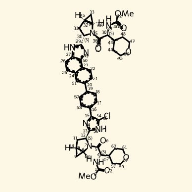 COC(=O)N[C@H](C(=O)N1[C@@H]2C[C@@H]2C[C@H]1c1nc(-c2ccc(-c3ccc4c(ccc5[nH]c([C@@H]6C[C@H]7C[C@H]7N6C(=O)[C@@H](NC(=O)OC)C6CCOCC6)nc54)c3)cc2)c(Cl)[nH]1)C1CCOCC1